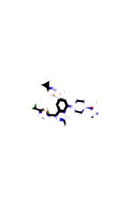 Cc1nc(-c2nnc(C(F)F)s2)c2cc(S(=O)(=O)NC3(C)CC3)cc(N3CCN(C(=O)N(C)C)CC3)c2n1